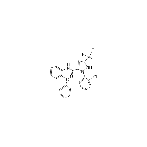 O=C(Nc1ccccc1Oc1ccccc1)C1=CC(C(F)(F)F)NN1c1ccccc1Cl